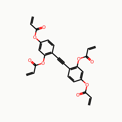 C=CC(=O)Oc1ccc(C#Cc2ccc(OC(=O)C=C)cc2OC(=O)C=C)c(OC(=O)C=C)c1